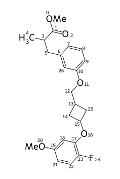 COC(=O)C(C)Cc1cccc(OCC2CC(Oc3cc(OC)ccc3F)C2)c1